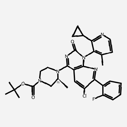 Cc1ccnc(C2CC2)c1-n1c(=O)nc(N2CCN(C(=O)OC(C)(C)C)C[C@@H]2C)c2cc(Cl)c(-c3ccccc3F)nc21